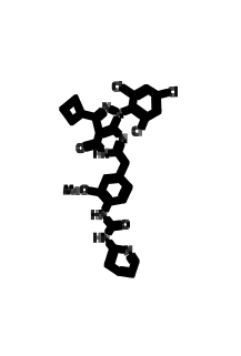 COc1cc(Cc2nc3c(c(C4CCC4)nn3-c3c(Cl)cc(Cl)cc3Cl)c(=O)[nH]2)ccc1NC(=O)Nc1ccccn1